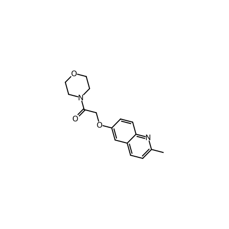 Cc1ccc2cc(OCC(=O)N3CCOCC3)ccc2n1